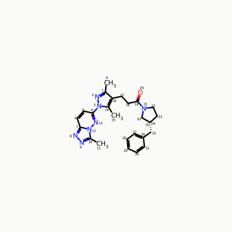 Cc1nn(-c2ccc3nnc(C)n3n2)c(C)c1CCC(=O)N1CC[C@H](Cc2ccccc2)C1